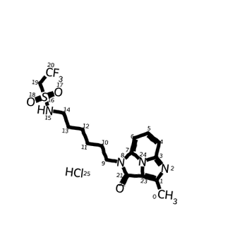 Cc1nc2cccc3n(CCCCCCNS(=O)(=O)CC(F)(F)F)c(=O)c1n23.Cl